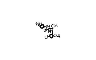 CNCc1ccc(NC(=O)c2cc(C)n(Cc3cc(Cl)ccc3OCC(C)C)n2)cc1.Cl